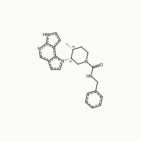 C[C@@H]1CCN(C(=O)NCc2ccccc2)C[C@@H]1n1ccc2cnc3[nH]ccc3c21